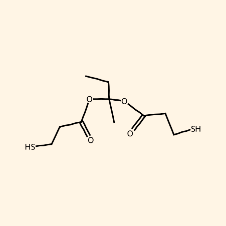 CCC(C)(OC(=O)CCS)OC(=O)CCS